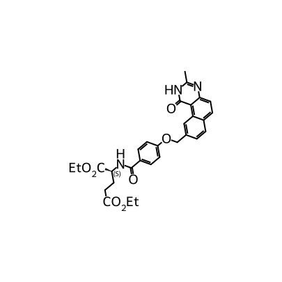 CCOC(=O)CC[C@H](NC(=O)c1ccc(OCc2ccc3ccc4nc(C)[nH]c(=O)c4c3c2)cc1)C(=O)OCC